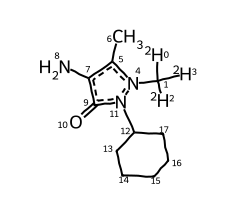 [2H]C([2H])([2H])n1c(C)c(N)c(=O)n1C1CCCCC1